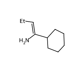 CCC=C(N)C1CCCCC1